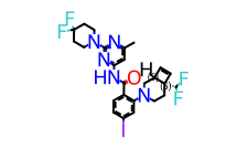 Cc1cc(NC(=O)c2ccc(I)cc2N2CC[C@]3(C(F)F)C=C[C@@H]3C2)nc(N2CCC(F)(F)CC2)n1